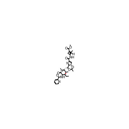 CC[C@H](C)[C@H](NC(=O)c1ccccn1)C(=O)N(C)[C@H](C[C@@H](OC(C)=O)c1nc(C(=O)NC23CC(C(=O)OC)(C2)[C@@H]3C)cs1)C(C)C